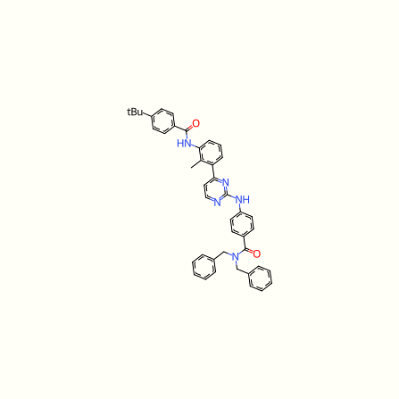 Cc1c(NC(=O)c2ccc(C(C)(C)C)cc2)cccc1-c1ccnc(Nc2ccc(C(=O)N(Cc3ccccc3)Cc3ccccc3)cc2)n1